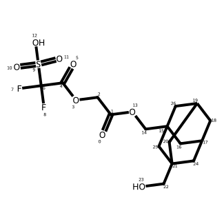 O=C(COC(=O)C(F)(F)S(=O)(=O)O)OCC12CC3CC(CC(CO)(C3)C1)C2